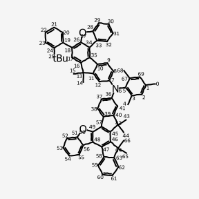 Cc1cc(C)c(N(c2ccc3c(c2)C(C)(C)c2cc(-c4ccccc4C(C)(C)C)c4oc5ccccc5c4c2-3)c2ccc3c(c2)C(C)(C)c2c4c(c5c(oc6ccccc65)c2-3)-c2ccccc2C4(C)C)c(C)c1